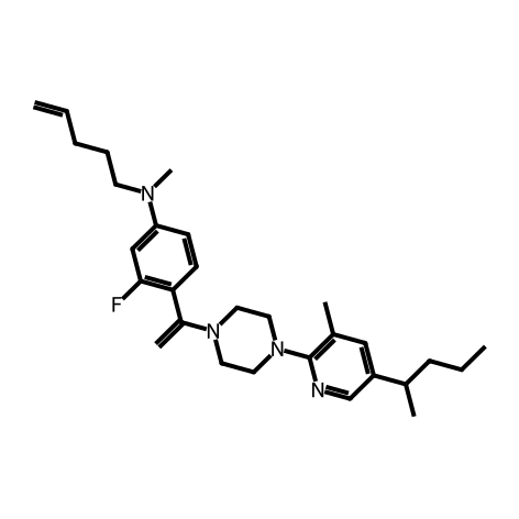 C=CCCCN(C)c1ccc(C(=C)N2CCN(c3ncc(C(C)CCC)cc3C)CC2)c(F)c1